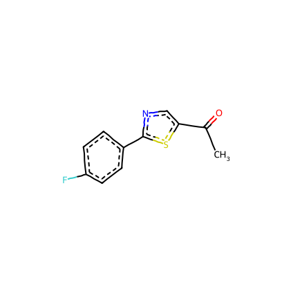 CC(=O)c1cnc(-c2ccc(F)cc2)s1